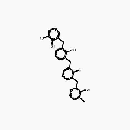 CCc1cccc(Cc2cccc(Cc3cccc(Cc4cccc(C)c4O)c3O)c2O)c1O